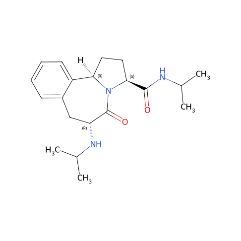 CC(C)NC(=O)[C@@H]1CC[C@@H]2c3ccccc3C[C@@H](NC(C)C)C(=O)N21